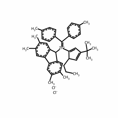 CCCC1C=C(C(C)(C)C)C=[C]1[Zr+2](=[C](c1ccc(C)cc1)c1ccc(C)cc1)[CH]1c2cc(C)c(C)cc2-c2cc(C)c(C)cc21.[Cl-].[Cl-]